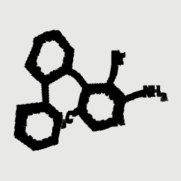 Cc1cnc(N)c(Br)c1-c1ccccc1-c1ccccc1